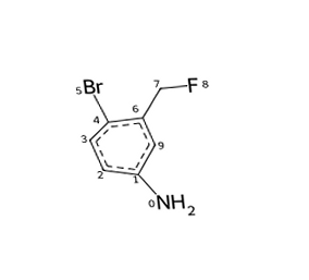 Nc1ccc(Br)c(CF)c1